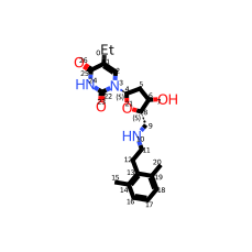 CCc1cn([C@@H]2CC(O)[C@H](CNCCc3c(C)cccc3C)O2)c(=O)[nH]c1=O